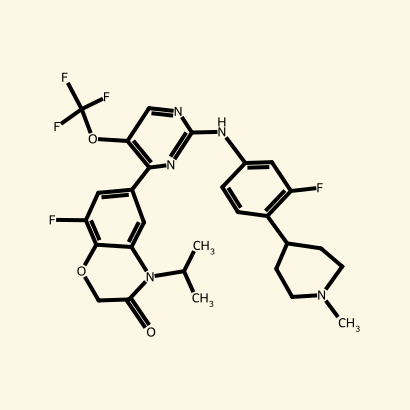 CC(C)N1C(=O)COc2c(F)cc(-c3nc(Nc4ccc(C5CCN(C)CC5)c(F)c4)ncc3OC(F)(F)F)cc21